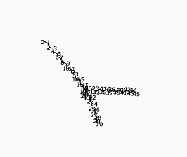 CCCCCCCCCCCCCCCCCCN1C=CN(CCCCCCCCC)C1CCCCCCCCCCCCCC